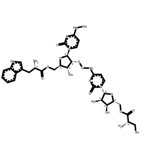 N[C@@H](CS)C(=O)OC[C@H]1O[C@@H](n2ccc(NOO[C@@H]3[C@H](O)[C@@H](COC(=O)[C@@H](N)Cc4c[nH]c5ccccc45)O[C@H]3n3ccc(NO)nc3=O)nc2=O)[C@H](O)[C@@H]1O